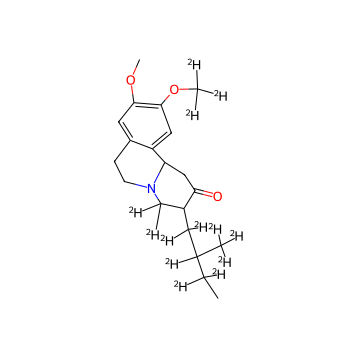 [2H]C([2H])([2H])Oc1cc2c(cc1OC)CCN1C2CC(=O)C(C([2H])([2H])C([2H])(C([2H])([2H])[2H])C([2H])([2H])C)C1([2H])[2H]